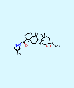 COC[C@]1(O)CC[C@H]2CC[C@@H]3[C@H](CC[C@]4(C)[C@@H](C(=O)Cn5cc(C#N)cn5)CCC[C@@H]34)[C@@]2(C)CC1